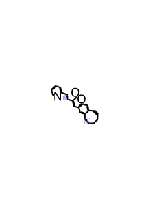 O=c1oc2cc3c(cc2cc1/C=C/c1ccccn1)/C=C\CCC#C3